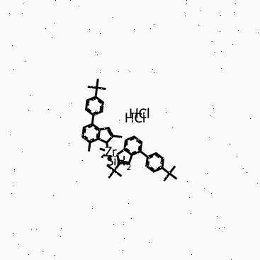 CC1=Cc2c(-c3ccc(C(C)(C)C)cc3)ccc(C)c2[CH]1[Zr]([CH3])([CH3])(=[SiH2])[CH]1C(C(C)(C)C)=Cc2c(-c3ccc(C(C)(C)C)cc3)cccc21.Cl.Cl